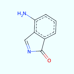 Nc1cccc2c1C=NC2=O